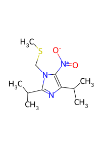 CSCn1c(C(C)C)nc(C(C)C)c1[N+](=O)[O-]